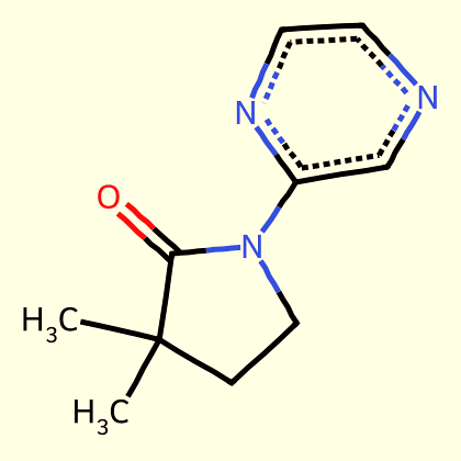 CC1(C)CCN(c2cnccn2)C1=O